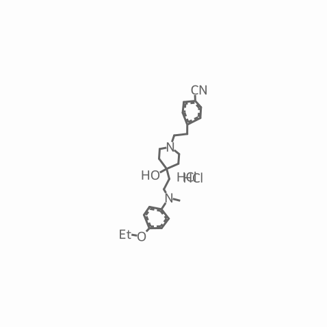 CCOc1ccc(N(C)CCC2(O)CCN(CCc3ccc(C#N)cc3)CC2)cc1.Cl.Cl